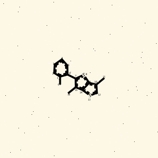 Cc1ccccc1-c1sc2c(C)csc2c1C